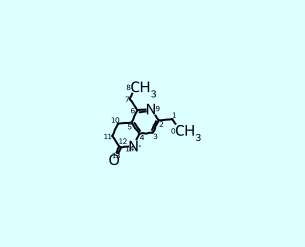 CCc1cc2c(c(CC)n1)CCC(=O)[N]2